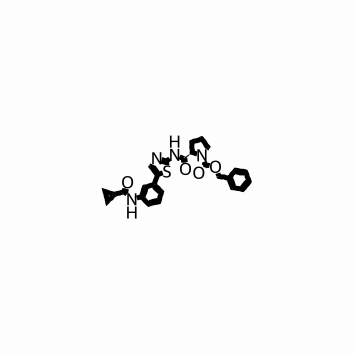 O=C(Nc1cccc(-c2cnc(NC(=O)[C@@H]3CCCN3C(=O)OCc3ccccc3)s2)c1)C1CC1